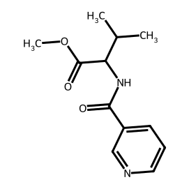 COC(=O)C(NC(=O)c1cccnc1)C(C)C